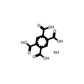 O=C(O)c1cc(C(=O)O)c(C(=O)O)cc1C(=O)O.[KH]